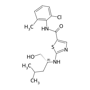 Cc1cccc(Cl)c1NC(=O)c1cnc(N[C@@H](CO)CC(C)C)s1